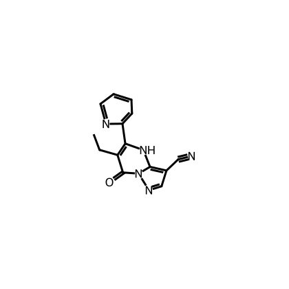 CCc1c(-c2ccccn2)[nH]c2c(C#N)cnn2c1=O